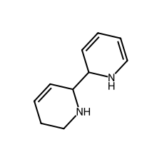 C1=CNC(C2C=CCCN2)C=C1